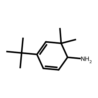 CC(C)(C)C1=CC(C)(C)C(N)C=C1